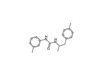 Cc1ccc(CC(C)NC(=O)Nc2cccc(C)c2)cc1